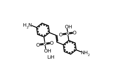 Nc1ccc(/C=C/c2ccc(N)cc2S(=O)(=O)O)c(S(=O)(=O)O)c1.[LiH]